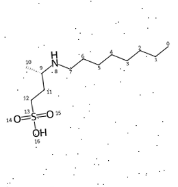 CCCCCCCCN[C@@H](C)CCS(=O)(=O)O